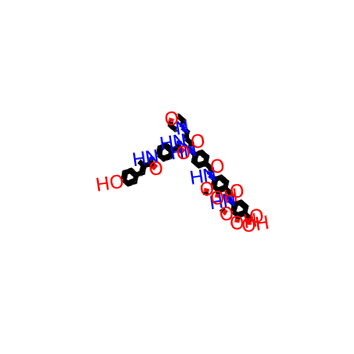 COc1c(NC(=O)c2ccc(NC(=O)c3ccc(NC(=O)C(CN4CCOCC4)NC(=O)c4ccc(NC(=O)/C(C)=C/c5ccc(O)cc5)cc4)cc3)c(OC)c2O)ccc(C(=O)O)c1O